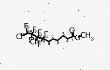 COC(=O)CCCCCC(F)(F)C(F)(Cl)C(F)(F)C(F)Cl